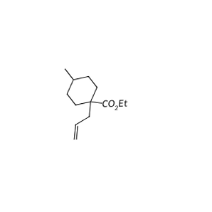 C=CCC1(C(=O)OCC)CCC(C)CC1